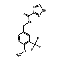 COc1ccc(CNC(=O)c2nc[nH]n2)cc1C(F)(F)F